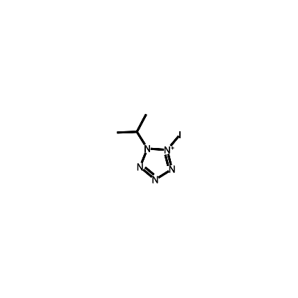 CC(C)n1nnn[n+]1I